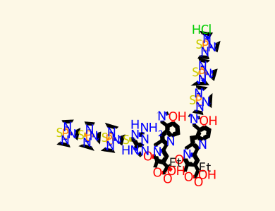 CC[C@@]1(O)C(=O)OCc2c1cc1n(c2=O)Cc2cc3c(CN(C)C)c(O)ccc3nc2-1.CC[C@@]1(O)C(=O)OCc2c1cc1n(c2=O)Cc2cc3c(CN(C)C)c(O)ccc3nc2-1.Cl.Nc1nc2nc[nH]c2c(=S)[nH]1.S=P(N1CC1)(N1CC1)N1CC1.S=P(N1CC1)(N1CC1)N1CC1.S=P(N1CC1)(N1CC1)N1CC1.S=P(N1CC1)(N1CC1)N1CC1.S=P(N1CC1)(N1CC1)N1CC1.S=P(N1CC1)(N1CC1)N1CC1